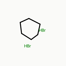 Br.Br.C1CCCCC1